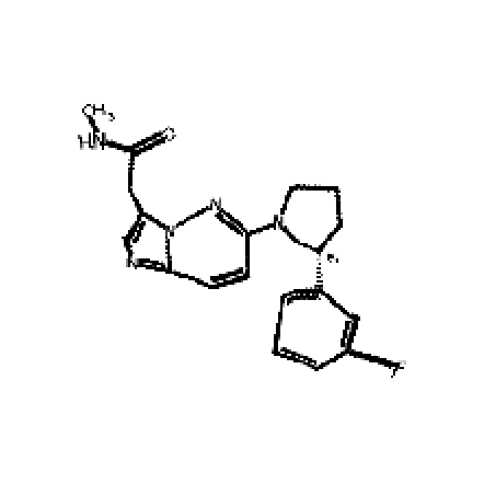 CNC(=O)c1cnc2ccc(N3CCC[C@@H]3c3cccc(F)c3)nn12